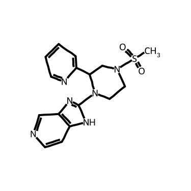 CS(=O)(=O)N1CCN(c2nc3cnccc3[nH]2)C(c2ccccn2)C1